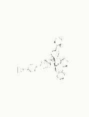 Brc1ccc(-c2ccc(N(c3ccc(-c4ccccc4)cc3)c3cc4ccccc4c4ccccc34)cc2)cc1